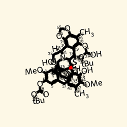 COc1cc2c(cc1OC(=O)OC(C)(C)C)CCN[C@]21CS[C@@H]2c3c(OC(O)OC(C)(C)C)c(C)c4c(c3[C@H](COC1=O)N1C2[C@@H]2c3c(cc(C)c(OC)c3O)C[C@@H]([C@@H]1O)N2C)OCO4